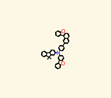 CC1(C)c2ccccc2-c2ccc(N(c3ccc(-c4ccc5ccc6oc7ccccc7c6c5c4)cc3)c3ccc4oc5ccccc5c4c3)cc21